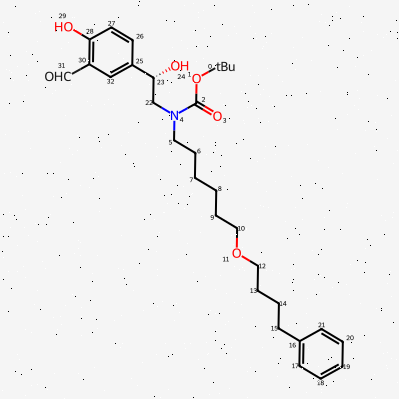 CC(C)(C)OC(=O)N(CCCCCCOCCCCc1ccccc1)C[C@@H](O)c1ccc(O)c(C=O)c1